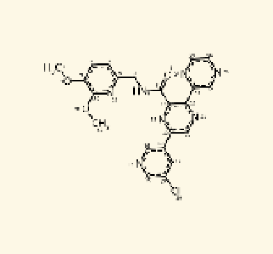 COc1ccc(CNC(=O)c2nc(-c3cncc(Cl)c3)cnc2-c2cnccn2)nc1OC